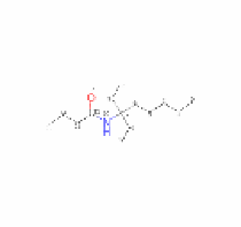 CCCCCC(CC)(CC)NC(=O)CCC